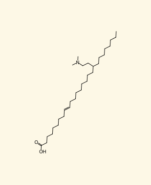 CCCCCCCCC(CCCCCCCCC=CCCCCCCCC(=O)O)CCN(C)C